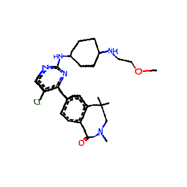 COCCNC1CCC(Nc2ncc(Cl)c(-c3ccc4c(c3)C(C)(C)CN(C)C4=O)n2)CC1